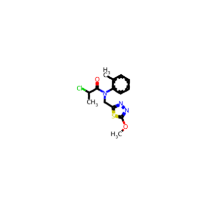 COc1nnc(CN(C(=O)C(C)Cl)c2ccccc2C)s1